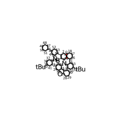 Cc1cc2c3c(c1)N(c1ccc(C(C)(C)C)cc1-c1ccccc1)c1c(ccc4oc5ccccc5c14)B3N(c1ccc(C(C)(C)C)cc1)c1cc(-c3ccccc3)ccc1-2